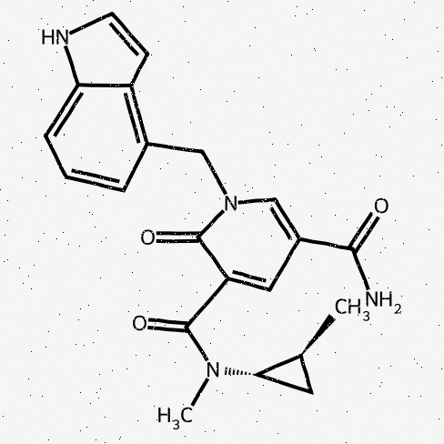 C[C@H]1C[C@@H]1N(C)C(=O)c1cc(C(N)=O)cn(Cc2cccc3[nH]ccc23)c1=O